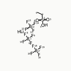 CCS(=O)(=O)O.F[B-](F)(F)F.F[B-](F)(F)F.F[B-](F)(F)F.[LiH]